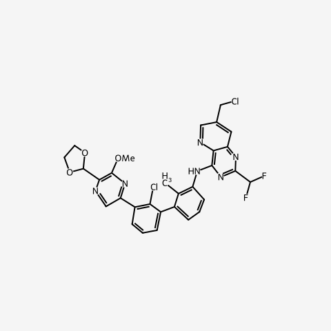 COc1nc(-c2cccc(-c3cccc(Nc4nc(C(F)F)nc5cc(CCl)cnc45)c3C)c2Cl)cnc1C1OCCO1